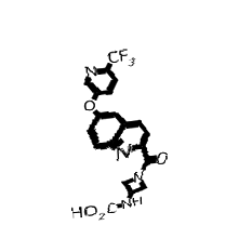 O=C(O)NC1CN(C(=O)c2ccc3cc(Oc4ccc(C(F)(F)F)nc4)ccc3n2)C1